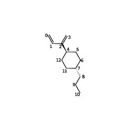 C=CC(=C)[C@H]1CC[C@H](CCC)CC1